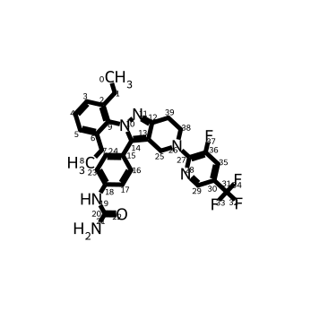 CCc1cccc(CC)c1-n1nc2c(c1-c1ccc(NC(N)=O)cc1)CN(c1ncc(C(F)(F)F)cc1F)CC2